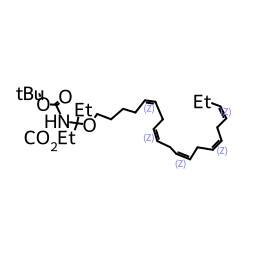 CC/C=C\C/C=C\C/C=C\C/C=C\C/C=C\CCCCOC(CC)(NC(=O)OC(C)(C)C)C(=O)OCC